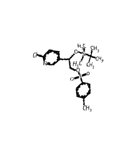 Cc1ccc(S(=O)(=O)OC[C@H](O[Si](C)(C)C(C)(C)C)c2ccc(Cl)nc2)cc1